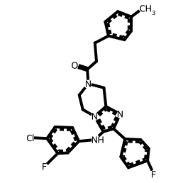 Cc1ccc(CCC(=O)N2CCn3c(nc(-c4ccc(F)cc4)c3Nc3ccc(Cl)c(F)c3)C2)cc1